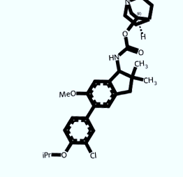 COc1cc2c(cc1-c1ccc(OC(C)C)c(Cl)c1)CC(C)(C)C2NC(=O)O[C@H]1CN2CCC1CC2